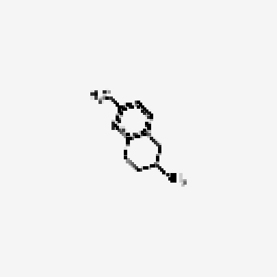 Cc1ccc2c(n1)CCC(N)C2